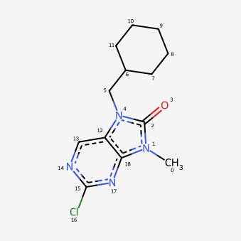 Cn1c(=O)n(CC2CCCCC2)c2cnc(Cl)nc21